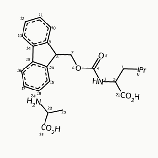 CC(C)CC(NC(=O)OCC1c2ccccc2-c2ccccc21)C(=O)O.CC(N)C(=O)O